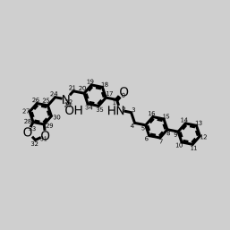 O=C(NCCc1ccc(-c2ccccc2)cc1)c1ccc(CN(O)Cc2ccc3c(c2)OCO3)cc1